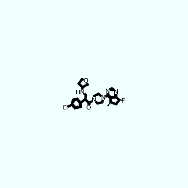 C[C@@H]1C[C@H](F)c2ncnc(N3CCN(C(=O)C(CNC4CCOC4)c4ccc(Cl)cc4)CC3)c21